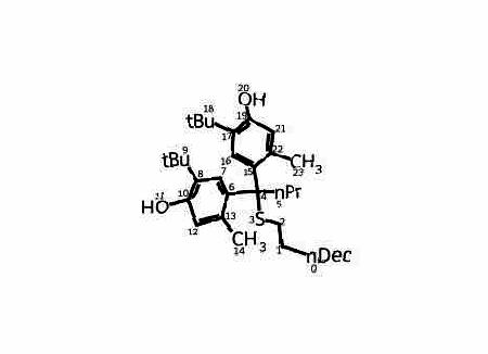 CCCCCCCCCCCCSC(CCC)(c1cc(C(C)(C)C)c(O)cc1C)c1cc(C(C)(C)C)c(O)cc1C